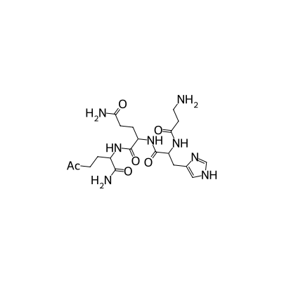 CC(=O)CCC(NC(=O)C(CCC(N)=O)NC(=O)C(Cc1c[nH]cn1)NC(=O)CCN)C(N)=O